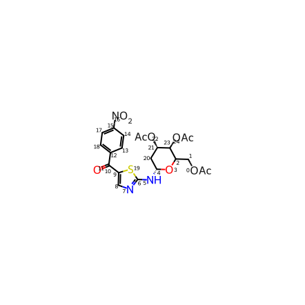 CC(=O)OCC1O[C@H](Nc2ncc(C(=O)c3ccc([N+](=O)[O-])cc3)s2)C[C@@H](OC(C)=O)C1OC(C)=O